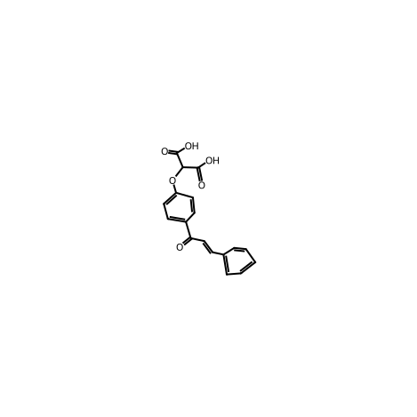 O=C(C=Cc1ccccc1)c1ccc(OC(C(=O)O)C(=O)O)cc1